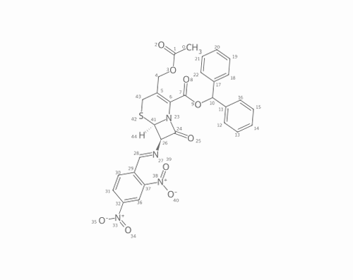 CC(=O)OCC1=C(C(=O)OC(c2ccccc2)c2ccccc2)N2C(=O)[C@@H](N=Cc3ccc([N+](=O)[O-])cc3[N+](=O)[O-])[C@H]2SC1